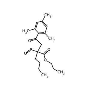 CCCCC(CC(=O)c1c(C)cc(C)cc1C)(P=O)C(=O)OCCC